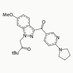 COc1ccc2c(C(=O)c3ccc(N4CCCC4)nc3)nn(CC(=O)C(C)(C)C)c2c1